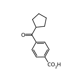 O=C(O)c1ccc(C(=O)C2CCCC2)cc1